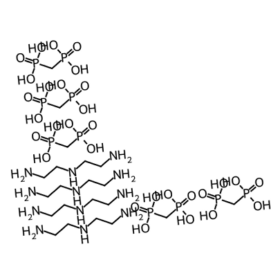 NCCNCCN.NCCNCCN.NCCNCCN.NCCNCCN.O=P(O)(O)CP(=O)(O)O.O=P(O)(O)CP(=O)(O)O.O=P(O)(O)CP(=O)(O)O.O=P(O)(O)CP(=O)(O)O.O=P(O)(O)CP(=O)(O)O